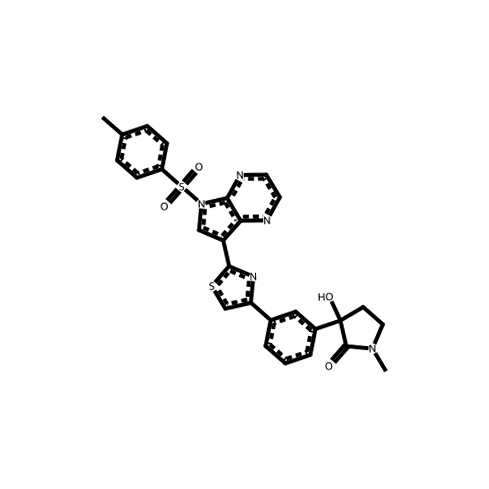 Cc1ccc(S(=O)(=O)n2cc(-c3nc(-c4cccc(C5(O)CCN(C)C5=O)c4)cs3)c3nccnc32)cc1